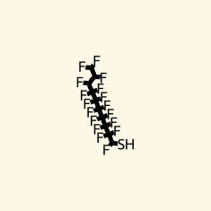 FC(F)C(F)C(F)C(F)(F)C(F)(F)C(F)(F)C(F)(F)C(F)(F)C(F)(F)C(F)S